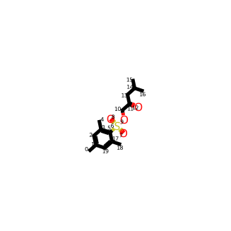 Cc1cc(C)c(S(=O)(=O)OCC(=O)CC(C)C)c(C)c1